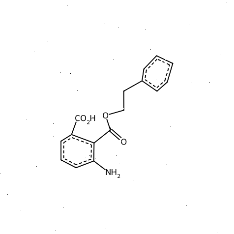 Nc1cccc(C(=O)O)c1C(=O)OCCc1ccccc1